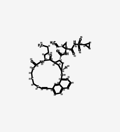 C=C[C@@H]1C[C@]1(NC(=O)[C@@H]1C[C@@H]2CN1C(=O)[C@H](CCCC(F)(F)F)NC(=O)OCCCC/C=C/c1ccc3ccnc(c3c1)O2)C(=O)NS(=O)(=O)C1CC1